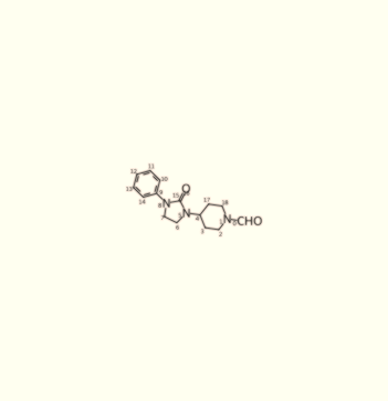 O=CN1CCC(N2CCN(c3ccccc3)C2=O)CC1